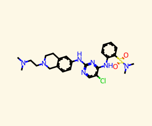 CN(C)CCN1CCc2cc(Nc3ncc(Cl)c(Nc4ccccc4S(=O)(=O)N(C)C)n3)ccc2C1